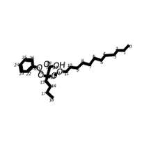 CCCCCCCCCCCCOOC(CCCC)(OOc1ccccc1)C(=O)O